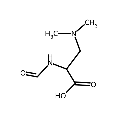 CN(C)CC(NC=O)C(=O)O